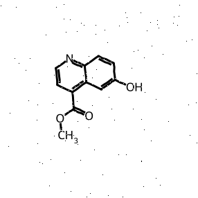 COC(=O)c1ccnc2ccc(O)cc12